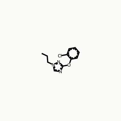 CCCn1cnc(Oc2ccccc2Cl)n1